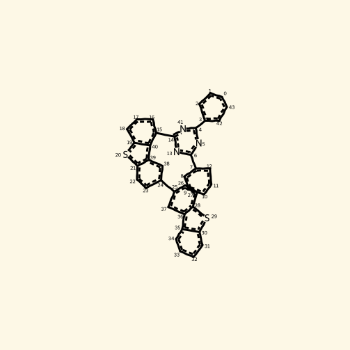 c1ccc(-c2nc(-c3ccccc3)nc(-c3cccc4sc5ccc(-c6ccc7sc8ccccc8c7c6)cc5c34)n2)cc1